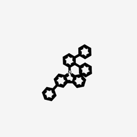 c1ccc(-c2ccc3c(c2)c2ccccc2n3-c2cccc(-c3ccccc3)c2-c2ccccc2)cc1